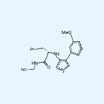 COc1cccc(-c2cscc2N[C@@H](CC(C)C)C(=O)NCC#N)c1